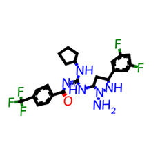 NN1NC(c2cc(F)cc(F)c2)CC1N/C(=N\C(=O)c1ccc(C(F)(F)F)cc1)NC1CCCC1